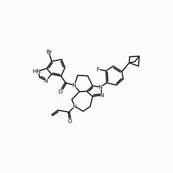 C=CC(=O)N1CCc2nn(-c3ccc(C45CC(C4)C5)cc3F)c3c2C(C1)N(C(=O)c1ccc(Br)c2[nH]cnc12)CC3